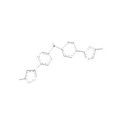 Nc1csc(-c2ccc(C(=O)c3ccc(-c4cc(N)cs4)cc3)cc2)c1